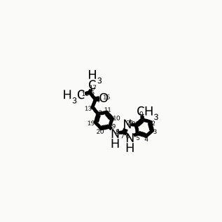 Cc1cccc2[nH]c(Nc3ccc(CC(=O)C(C)C)cc3)nc12